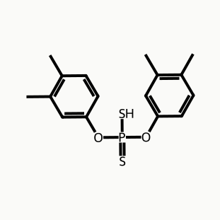 Cc1ccc(OP(=S)(S)Oc2ccc(C)c(C)c2)cc1C